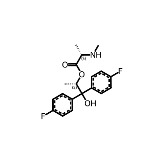 CN[C@@H](C)C(=O)O[C@@H](C)C(O)(c1ccc(F)cc1)c1ccc(F)cc1